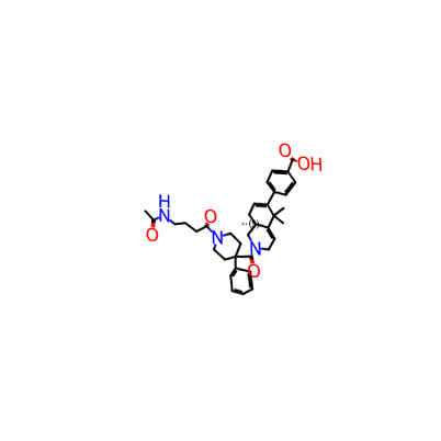 CC(=O)NCCCC(=O)N1CCC(C(=O)N2CC=C3C(C)(C)C(c4ccc(C(=O)O)cc4)=CC[C@]3(C)C2)(c2ccccc2)CC1